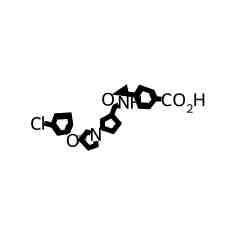 O=C(O)c1ccc(C2(NC(=O)C3CCC(N4CC[C@@H](Oc5cccc(Cl)c5)C4)C3)CC2)cc1